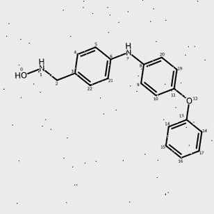 ONCc1ccc(Nc2ccc(Oc3ccccc3)cc2)cc1